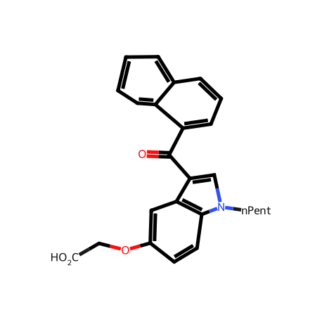 CCCCCn1cc(C(=O)c2cccc3ccccc23)c2cc(OCC(=O)O)ccc21